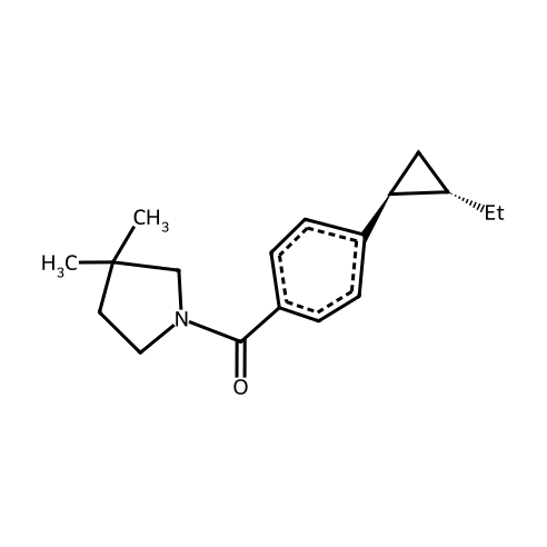 CC[C@H]1C[C@@H]1c1ccc(C(=O)N2CCC(C)(C)C2)cc1